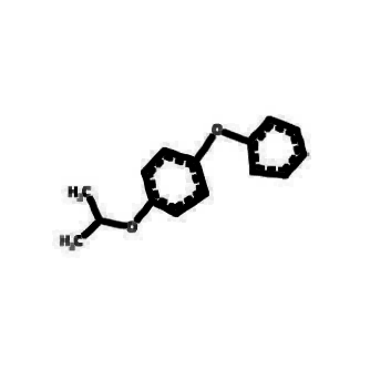 CC(C)Oc1ccc(Oc2cc[c]cc2)cc1